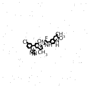 CC1Cc2cc(-c3[nH]c([C@@H]4C[C@@H](C)c5cc(-c6cc(Cl)ccc6-n6cnnn6)cc(=O)n54)nc3F)ccc2NC1=O